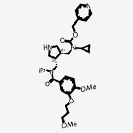 COCCCOc1cc(C(=O)N(C[C@@H]2CNC[C@H]2CN(C(=O)OCc2ccncc2)C2CC2)C(C)C)ccc1OC